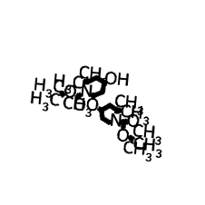 CC(C)(C)OC(=O)N1CCC(OC2CC(O)CC(C)(C)N2C(=O)OC(C)(C)C)CC1(C)C